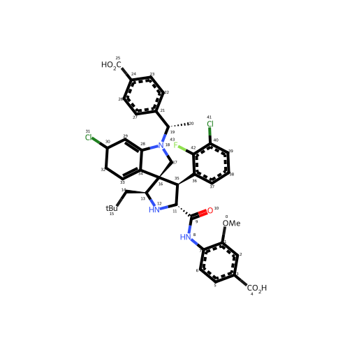 COc1cc(C(=O)O)ccc1NC(=O)[C@@H]1N[C@@H](CC(C)(C)C)[C@@]2(CN([C@@H](C)c3ccc(C(=O)O)cc3)C3=CC(Cl)CC=C32)[C@H]1c1cccc(Cl)c1F